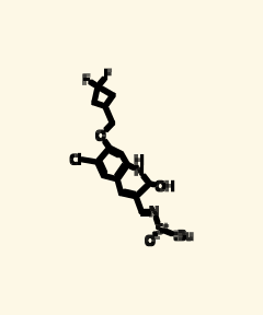 CC(C)(C)[S+]([O-])/N=C/C1=Cc2cc(Cl)c(OCC3CC(F)(F)C3)cc2NC1O